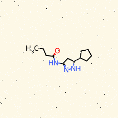 CCCC(=O)NC1=NNC(C2CCCC2)C1